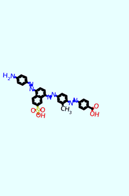 Cc1cc(N=Nc2ccc(N=Nc3ccc(N)cc3)c3ccc(S(=O)(=O)O)cc23)ccc1N=Nc1ccc(C(=O)O)cc1